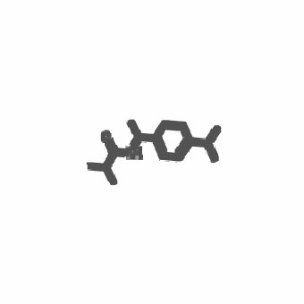 CC(C)C(=O)NC(C)c1ccc(C(C)C)cc1